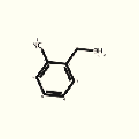 BCc1ccccc1C#N